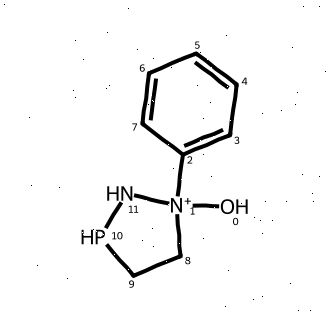 O[N+]1(c2ccccc2)CCPN1